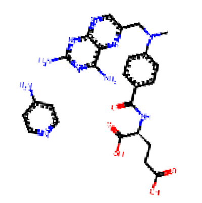 CN(Cc1cnc2nc(N)nc(N)c2n1)c1ccc(C(=O)N[C@@H](CCC(=O)O)C(=O)O)cc1.Nc1ccncc1